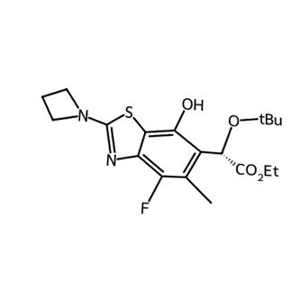 CCOC(=O)[C@@H](OC(C)(C)C)c1c(C)c(F)c2nc(N3CCC3)sc2c1O